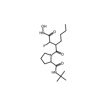 CCCCC(C(=O)N1CCCC1C(=O)NC(C)(C)C)C(F)C(=O)NO